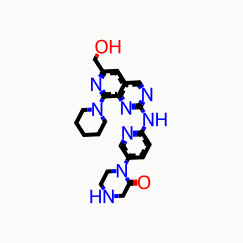 O=C1CNCCN1c1ccc(Nc2ncc3cc(CO)nc(N4CCCCC4)c3n2)nc1